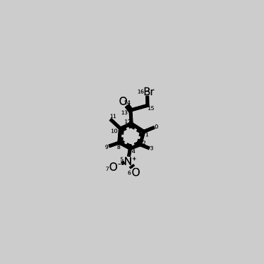 Cc1c(C)c([N+](=O)[O-])c(C)c(C)c1C(=O)CBr